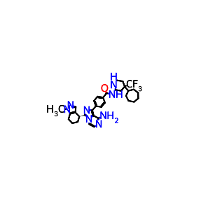 Cn1ncc2c1CCC[C@H]2c1nc(-c2ccc(C(=O)NC3CC(C4CCCCCC4)(C(F)(F)F)CCN3)cc2)c2c(N)nccn12